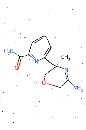 C[C@@]1(c2cccc(C(N)=O)n2)COCC(N)=N1